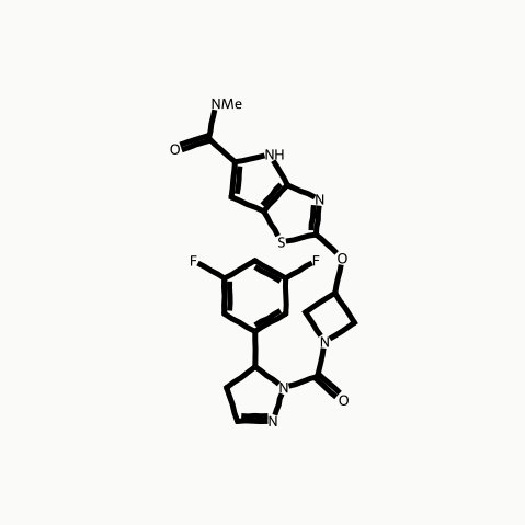 CNC(=O)c1cc2sc(OC3CN(C(=O)N4N=CCC4c4cc(F)cc(F)c4)C3)nc2[nH]1